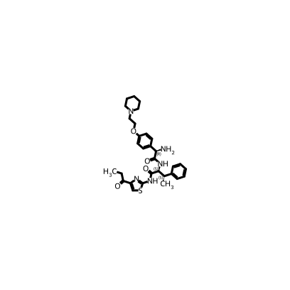 CCC(=O)c1csc(NC(=O)[C@@H](NC(=O)[C@H](N)c2ccc(OCCN3CCCCC3)cc2)[C@@H](C)c2ccccc2)n1